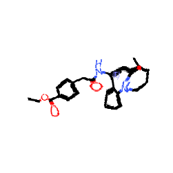 CCC/C=C(/NC(=O)Cc1ccc(C(=O)OCC)cc1)c1ccccc1N1CCCCC1